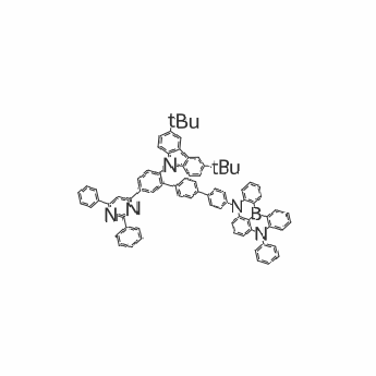 CC(C)(C)c1ccc2c(c1)c1cc(C(C)(C)C)ccc1n2-c1ccc(-c2cc(-c3ccccc3)nc(-c3ccccc3)n2)cc1-c1ccc(-c2ccc(N3c4ccccc4B4c5ccccc5N(c5ccccc5)c5cccc3c54)cc2)cc1